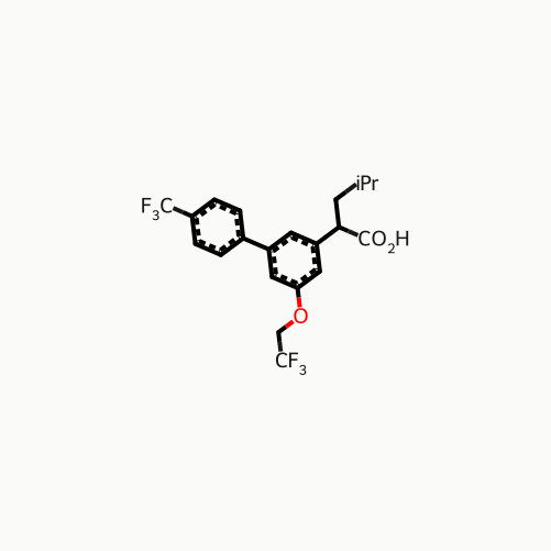 CC(C)CC(C(=O)O)c1cc(OCC(F)(F)F)cc(-c2ccc(C(F)(F)F)cc2)c1